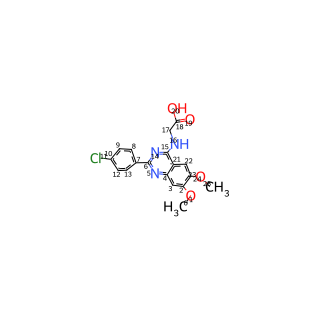 COc1cc2nc(-c3ccc(Cl)cc3)nc(NCC(=O)O)c2cc1OC